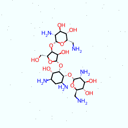 NC[C@@H]1O[C@H](O[C@H]2[C@@H](O)[C@H](O[C@H]3[C@@H](O)[C@H](N)C[C@H](N)[C@H]3O[C@H]3O[C@H](CN)[C@@H](O)[C@H](O)[C@H]3N)O[C@@H]2CO)[C@H](N)[C@@H](O)[C@@H]1O